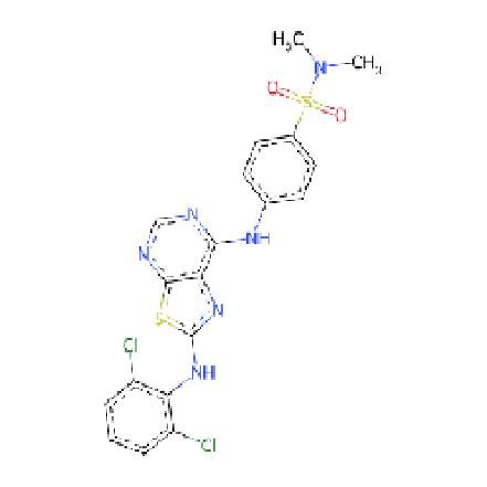 CN(C)S(=O)(=O)c1ccc(Nc2ncnc3sc(Nc4c(Cl)cccc4Cl)nc23)cc1